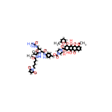 COc1cccc2c1C(=O)c1c(O)c3c(c(O)c1C2=O)C[C@@](O)(C(=O)N1CCN(C(=O)OCc2ccc(NC(=O)[C@H](CCCNC(N)=O)NC(=O)[C@@H](NC(=O)CCCCCN4C(=O)C=CC4=O)C(C)C)cc2)CC1)C[C@@H]3O[C@H]1CCC[C@H](C)O1